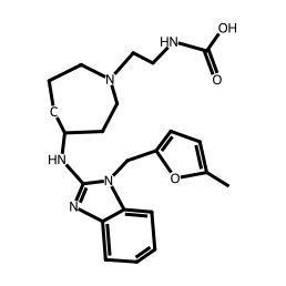 Cc1ccc(Cn2c(NC3CCCN(CCNC(=O)O)CC3)nc3ccccc32)o1